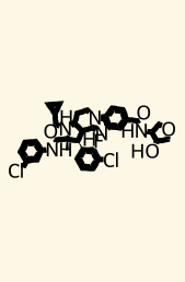 C[C@]1(C(=O)Nc2cccc(Cl)c2)[C@@H](c2cccc(Cl)c2F)[C@@H]2c3nc4cc(C(=O)NC5COCC5O)ccc4n3CC[C@@H]2N1CC1CC1